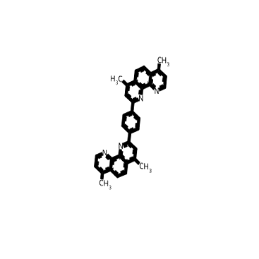 Cc1ccnc2c1ccc1c(C)cc(-c3ccc(-c4cc(C)c5ccc6c(C)ccnc6c5n4)cc3)nc12